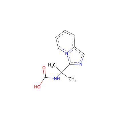 CC(C)(NC(=O)O)c1ncc2ccccn12